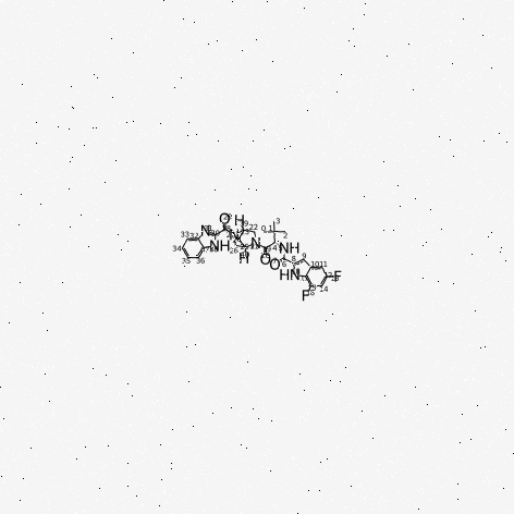 CC(C)(C)[C@H](NC(=O)c1cc2cc(F)cc(F)c2[nH]1)C(=O)N1C[C@@H]2C[C@H]1CN2C(=O)c1nc2ccccc2[nH]1